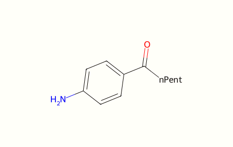 CCCCCC(=O)c1ccc(N)cc1